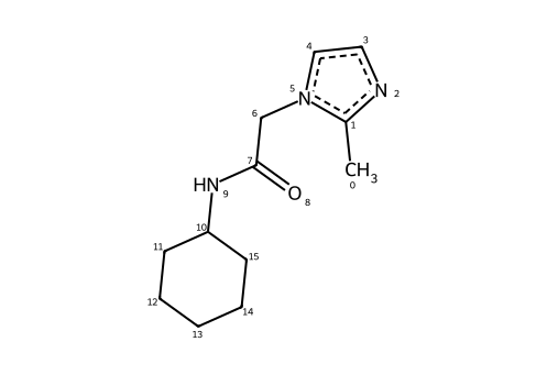 Cc1nccn1CC(=O)NC1CCCCC1